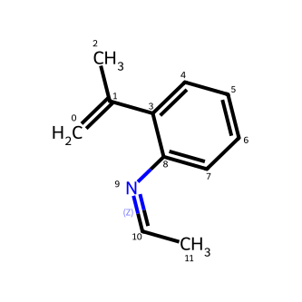 C=C(C)c1ccccc1/N=C\C